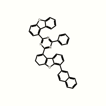 C1=C(c2nc(-c3ccccc3)nc(-c3cccc4oc5ccccc5c34)n2)c2c(oc3c(-c4ccc5ccccc5c4)cccc23)CC1